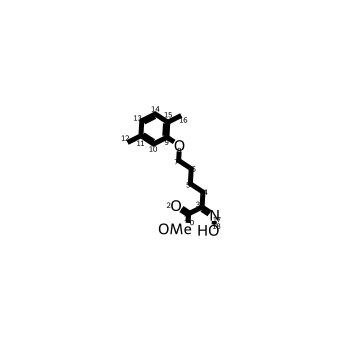 COC(=O)/C(CCCCOc1cc(C)ccc1C)=N\O